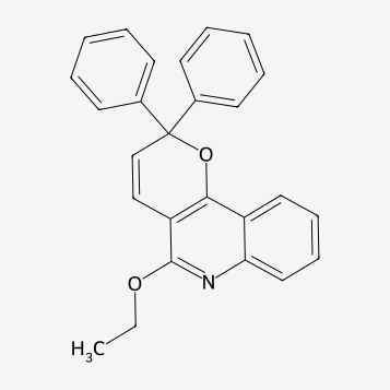 CCOc1nc2ccccc2c2c1C=CC(c1ccccc1)(c1ccccc1)O2